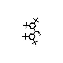 CC(C)(C)c1cc(N(C=O)c2cc(C(C)(C)C)cc(C(C)(C)C)c2)cc(C(C)(C)C)c1